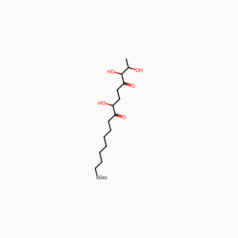 CCCCCCCCCCCCCCCCCC(=O)C(O)CCC(=O)C(O)C(C)O